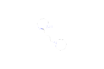 C1CCCN(CCSC2=NCCCCN2)CC1